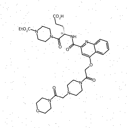 CCOC(=O)N1CCN(C(=O)[C@H](CCC(=O)O)NC(=O)c2cc(OCC(=O)N3CCN(CC(=O)N4CCOCC4)CC3)c3ccccc3n2)CC1